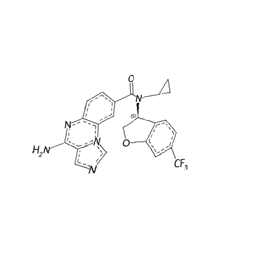 Nc1nc2ccc(C(=O)N(C3CC3)[C@@H]3COc4cc(C(F)(F)F)ccc43)cc2n2cncc12